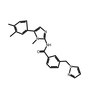 Cc1ccc(-c2cnc(NC(=O)c3cccc(Cn4cccn4)c3)n2C)cc1C